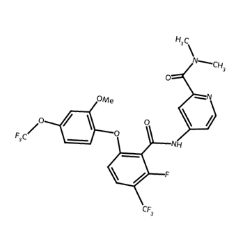 COc1cc(OC(F)(F)F)ccc1Oc1ccc(C(F)(F)F)c(F)c1C(=O)Nc1ccnc(C(=O)N(C)C)c1